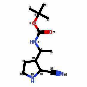 CC(NC(=O)OC(C)(C)C)C1CCNC1C#N